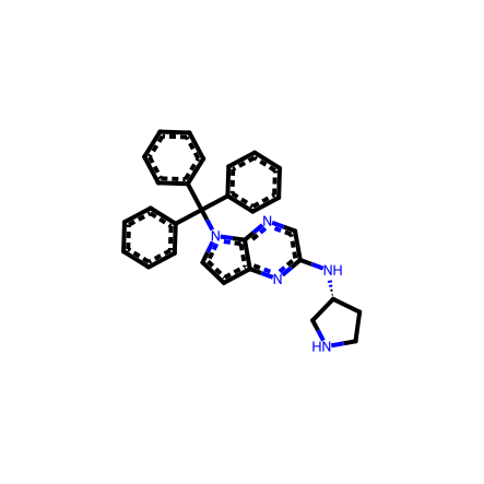 c1ccc(C(c2ccccc2)(c2ccccc2)n2ccc3nc(N[C@@H]4CCNC4)cnc32)cc1